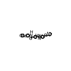 O=C(Nc1ccc(N2CCOCC2)cc1)c1ccc(-c2nc3ccc(OCc4ccccn4)cc3[nH]2)cc1